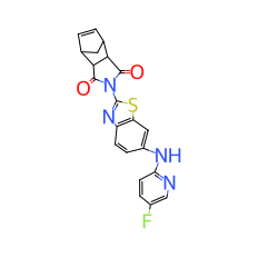 O=C1C2C3C=CC(C3)C2C(=O)N1c1nc2ccc(Nc3ccc(F)cn3)cc2s1